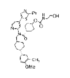 COc1ccc([C@H]2CC[C@H](CN(c3cc(-c4cnc(C(C)C)s4)ccn3)C(=O)[C@H]3CC[C@H](OC(=O)NCCO)CC3)CC2)cc1C